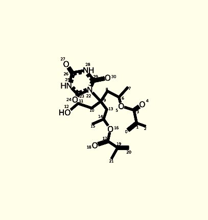 C=C(C)C(=O)OC(C)CC(CCO)(CC(C)OC(=O)C(=C)C)n1c(=O)[nH]c(=O)[nH]c1=O